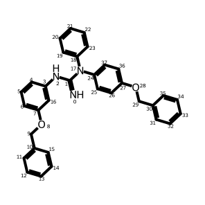 N=C(Nc1cccc(OCc2ccccc2)c1)N(c1ccccc1)c1ccc(OCc2ccccc2)cc1